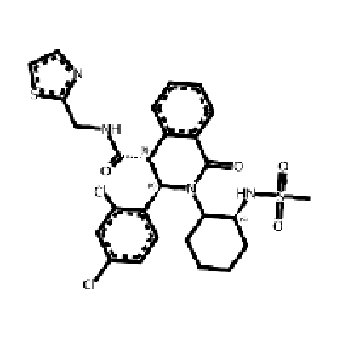 CS(=O)(=O)N[C@H]1CCCCC1N1C(=O)c2ccccc2[C@@H](C(=O)NCc2nccs2)[C@@H]1c1ccc(Cl)cc1Cl